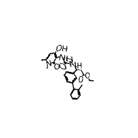 CCOC(=O)C[C@H](NC(=O)Nc1c(O)cc(C)n(C)c1=O)c1cccc(-c2ccccc2C)c1